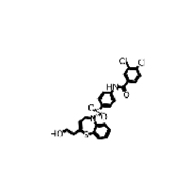 O=C(Nc1ccc(S(=O)(=O)N2CC=C(CCO)Sc3ccccc32)cc1)c1ccc(Cl)c(Cl)c1